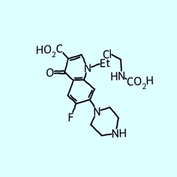 CCn1cc(C(=O)O)c(=O)c2cc(F)c(N3CCNCC3)cc21.O=C(O)NCCl